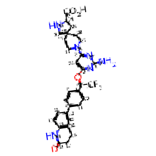 Nc1nc(O[C@H](c2ccc(-c3ccc4c(c3)CCC(=O)N4)cc2)C(F)(F)F)cc(N2CCC3(CC2)CNC(C(=O)O)C3)n1